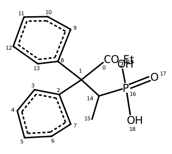 CCOC(=O)C(c1ccccc1)(c1ccccc1)C(C)P(=O)(O)O